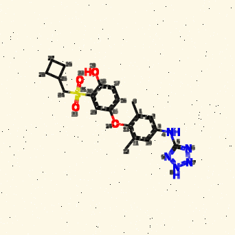 Cc1cc(Nc2nn[nH]n2)cc(C)c1Oc1ccc(O)c(S(=O)(=O)CC2CCC2)c1